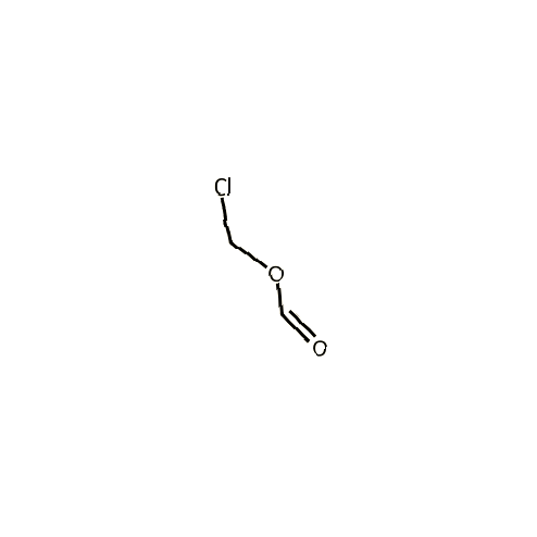 O=COCCl